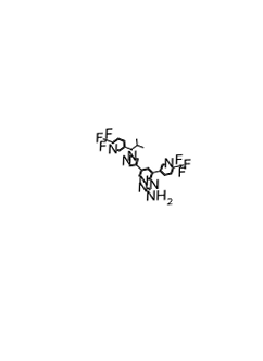 CC(C)C(c1ccc(C(F)(F)F)nc1)n1cc(-c2cc(-c3ccc(C(F)(F)F)nc3)c3nc(N)nn3c2)cn1